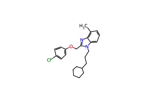 Cc1cccc2c1nc(COc1ccc(Cl)cc1)n2CCCC1CCCCC1